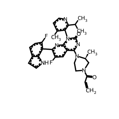 C=CC(=O)N1CCN(c2nc(=O)n(-c3c(C)ccnc3C(C)C)c3nc(-c4c(F)ccc5cc[nH]c45)c(F)cc23)[C@@H](C)C1